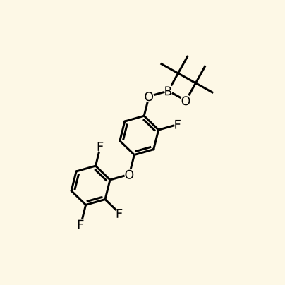 CC1(C)OB(Oc2ccc(Oc3c(F)ccc(F)c3F)cc2F)C1(C)C